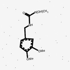 COc1ccc(CNC(=O)N(C)O)cc1OC